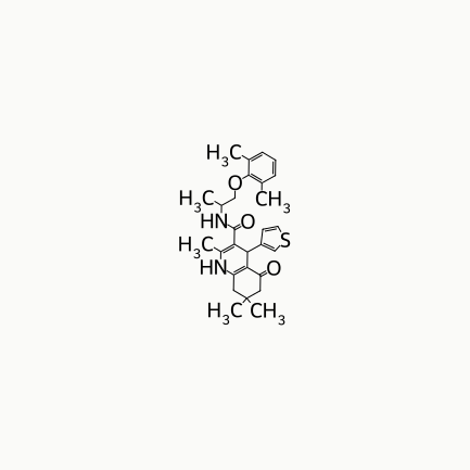 CC1=C(C(=O)NC(C)COc2c(C)cccc2C)C(c2ccsc2)C2=C(CC(C)(C)CC2=O)N1